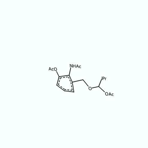 CC(=O)Nc1c(COC(OC(C)=O)C(C)C)cccc1OC(C)=O